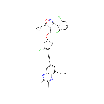 Cc1nc2cc(C#Cc3ccc(OCc4c(-c5c(Cl)cccc5Cl)noc4C4CC4)cc3Cl)cc(C(=O)O)c2nc1C